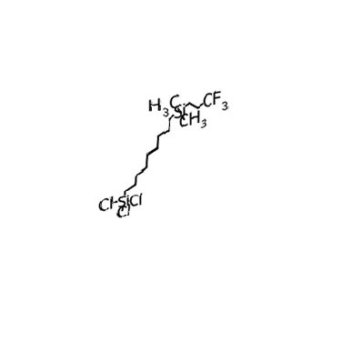 C[Si](C)(CCCCCCCCC[Si](Cl)(Cl)Cl)CCC(F)(F)F